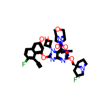 C#Cc1c(F)ccc2cc(O)cc(Oc3nc4nc(OC[C@@]56CCCN5C[C@H](F)C6)nc(N5CC6COCC(C5)N6C(=O)OC(C)(C)C)c4n3C3CCC3)c12